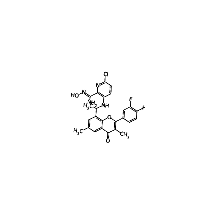 Cc1cc(C(C)Nc2ccc(Cl)nc2C(N)=NO)c2oc(-c3ccc(F)c(F)c3)c(C)c(=O)c2c1